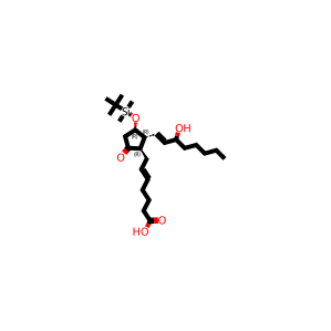 CCCCCC(O)C=C[C@H]1[C@H](O[Si](C)(C)C(C)(C)C)CC(=O)[C@@H]1CC=CCCCC(=O)O